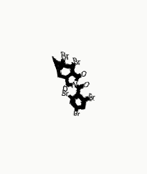 O=C(c1c(Br)cc(Br)cc1Br)N1C(=O)C2CC3CC3(Br)C(Br)C2C1=O